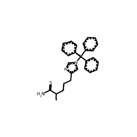 CC(CCCc1cn(C(c2ccccc2)(c2ccccc2)c2ccccc2)cn1)C(N)=S